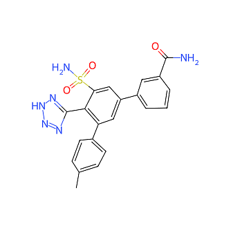 Cc1ccc(-c2cc(-c3cccc(C(N)=O)c3)cc(S(N)(=O)=O)c2-c2nn[nH]n2)cc1